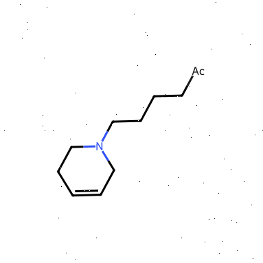 CC(=O)CCCCN1CC=CCC1